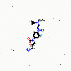 CCN(CCN(OC)C1CC1)c1ccc(N2C[C@H](CN)OC2=O)cc1F